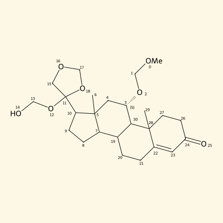 COCO[C@H]1CC2(C)C(CCC2C2(OCO)COCO2)C2CCC3=CC(=O)CCC3(C)C21